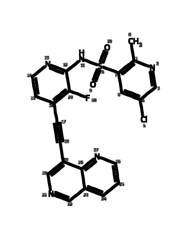 Cc1ncc(Cl)cc1S(=O)(=O)Nc1nccc(C#Cc2cncc3cccnc23)c1F